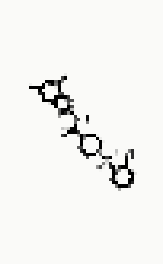 Cc1cc(C)c2nc(NC(=O)C3CCN(S(=O)(=O)c4ccccc4Cl)CC3)sc2c1